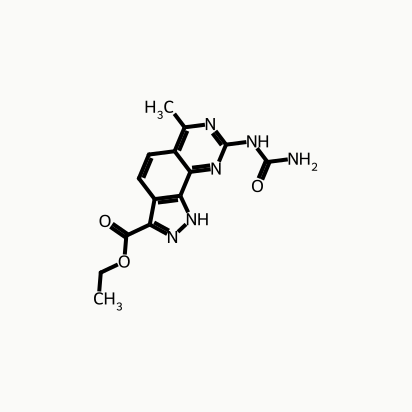 CCOC(=O)c1n[nH]c2c1ccc1c(C)nc(NC(N)=O)nc12